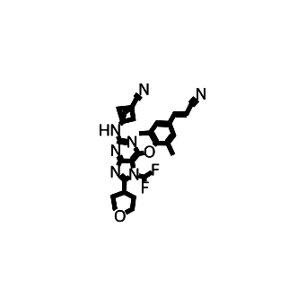 Cc1cc(/C=C/C#N)cc(C)c1Oc1nc(NC23CC(C#N)(C2)C3)nc2nc(C3CCOCC3)n(C(F)F)c12